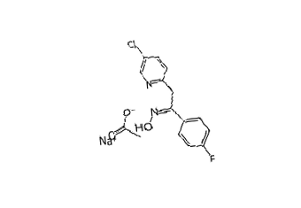 CC(=O)[O-].ON=C(Cc1ccc(Cl)cn1)c1ccc(F)cc1.[Na+]